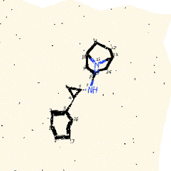 c1ccc([C@H]2C[C@@H]2NC2CC3CCC(C2)N3)cc1